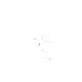 CC[N-]CC.CC[N-]CC.[Cl-].[V+3][C]1=CC=CC1